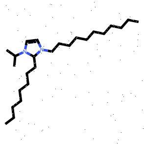 CCCCCCCCCCCN1C=CN(C(C)C)C1CCCCCCCC